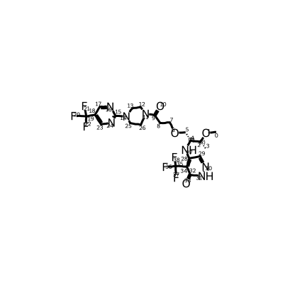 CO[C@H](C)[C@@H](COCCC(=O)N1CCN(c2ncc(C(F)(F)F)cn2)CC1)Nc1cn[nH]c(=O)c1C(F)(F)F